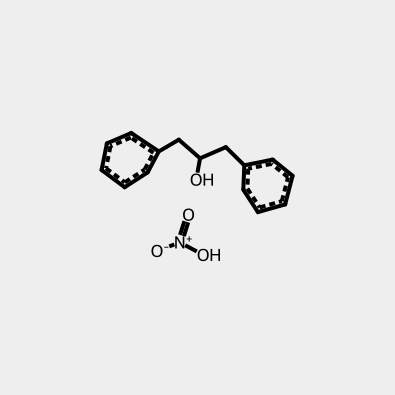 O=[N+]([O-])O.OC(Cc1ccccc1)Cc1ccccc1